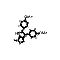 COc1ccc(-c2[nH]c3c(cnn3C)c2-c2ccc(OC)cc2)cc1